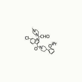 CC(C)Oc1ccccc1C1CCN(C(=O)c2cn(C(C=O)N3CCN(C)CC3)c3cc(Cl)ccc23)CC1